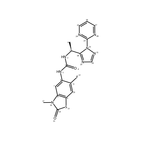 C[C@H](NC(=O)Nc1cc2c(cc1F)sc(=O)n2C)c1ncnn1-c1ncccn1